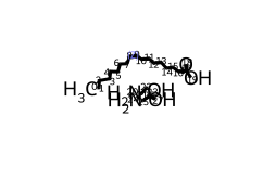 CCCCCCCC/C=C\CCCCCCCC(=O)O.NCCO.NCCO